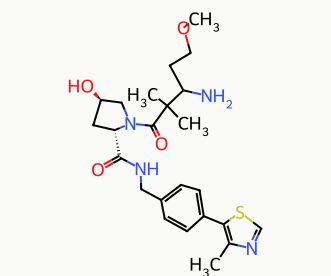 COCCC(N)C(C)(C)C(=O)N1C[C@H](O)C[C@H]1C(=O)NCc1ccc(-c2scnc2C)cc1